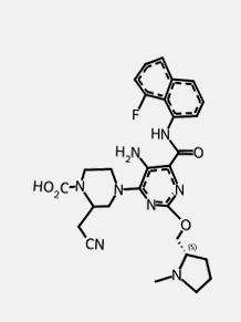 CN1CCC[C@H]1COc1nc(C(=O)Nc2cccc3cccc(F)c23)c(N)c(N2CCN(C(=O)O)C(CC#N)C2)n1